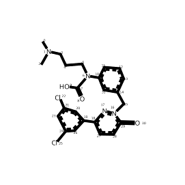 CN(C)CCCN(C(=O)O)c1cccc(Cn2nc(-c3cc(Cl)cc(Cl)c3)ccc2=O)c1